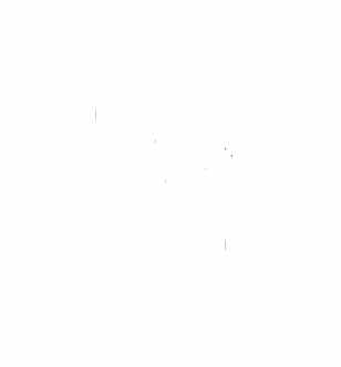 CCC[Si](N)([O])COCC